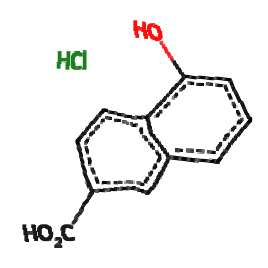 Cl.O=C(O)c1ccc2c(O)cccc2c1